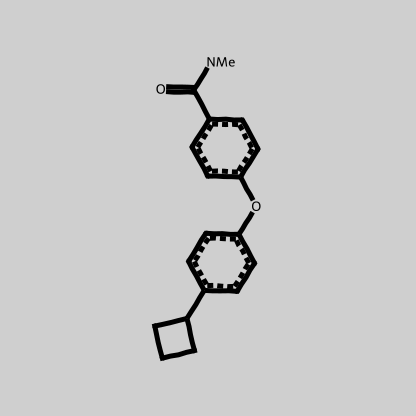 CNC(=O)c1ccc(Oc2ccc(C3CCC3)cc2)cc1